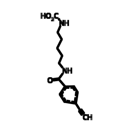 C#Cc1ccc(C(=O)NCCCCCNC(=O)O)cc1